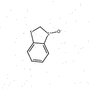 [O-][S+]1CSc2ccccc21